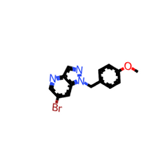 COc1ccc(Cn2ncc3ncc(Br)cc32)cc1